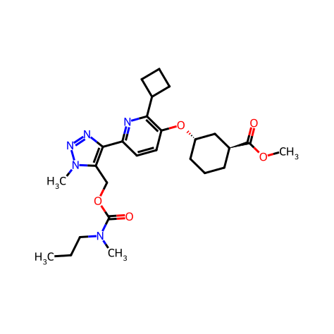 CCCN(C)C(=O)OCc1c(-c2ccc(O[C@H]3CCC[C@H](C(=O)OC)C3)c(C3CCC3)n2)nnn1C